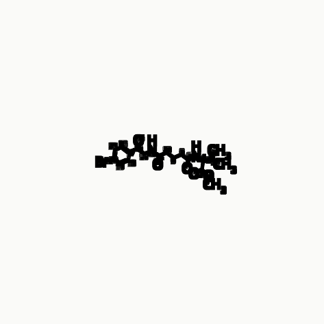 COC(=O)[C@@H](NC(=O)CCCC(=O)NCC(=O)c1ccc(Br)cc1)C(C)C